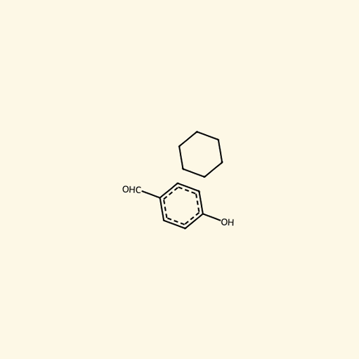 C1CCCCC1.O=Cc1ccc(O)cc1